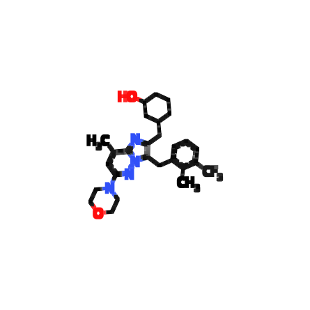 Cc1c(Cc2c(CC3CCCC(O)C3)nc3c(C)cc(N4CCOCC4)nn23)cccc1C(F)(F)F